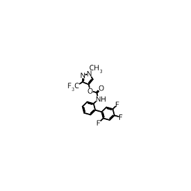 Cn1cc(OC(=O)Nc2ccccc2-c2cc(F)c(F)cc2F)c(C(F)(F)F)n1